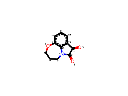 O=C1C(=O)N2CCCOc3cccc1c32